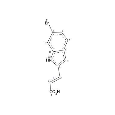 O=C(O)/C=C/c1cc2ccc(Br)cc2[nH]1